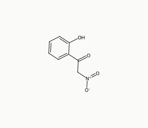 O=C(C[N+](=O)[O-])c1ccccc1O